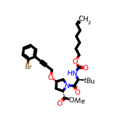 C=CCCCCCOC(=O)N[C@H](C(=O)N1C[C@H](OCC#Cc2ccccc2Br)C[C@H]1C(=O)OC)C(C)(C)C